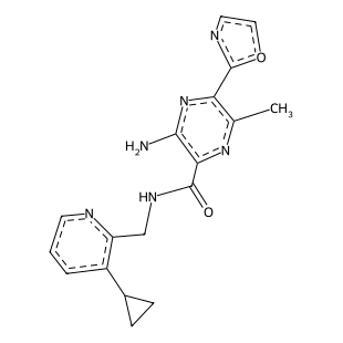 Cc1nc(C(=O)NCc2ncccc2C2CC2)c(N)nc1-c1ncco1